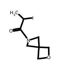 CC(I)C(=O)N1CC2(COC2)C1